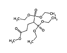 CCOP(=O)(OCC)C(CCC(=O)OC)P(=O)(OCC)OCC